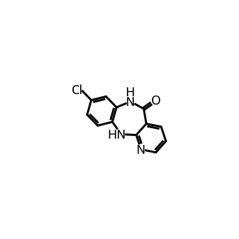 O=C1Nc2cc(Cl)ccc2Nc2ncccc21